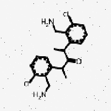 CC(C(=O)C(C)c1cccc(Cl)c1CN)c1cccc(Cl)c1CN